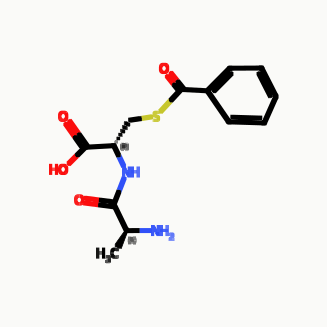 C[C@H](N)C(=O)N[C@@H](CSC(=O)c1ccccc1)C(=O)O